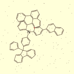 c1ccc(-c2cccc3cccc(-c4ccccc4N(c4ccc(-c5ccc6ccccc6c5)cc4)c4ccc(C5(c6ccccc6)c6ccccc6-c6ccccc65)cc4)c23)cc1